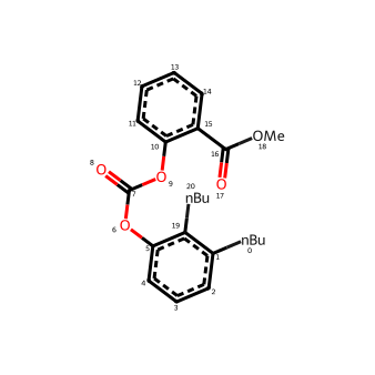 CCCCc1cccc(OC(=O)Oc2ccccc2C(=O)OC)c1CCCC